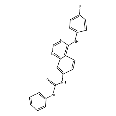 O=C(Nc1ccccc1)Nc1ccc2c(Nc3ccc(F)cc3)ncnc2c1